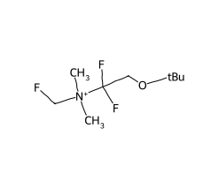 CC(C)(C)OCC(F)(F)[N+](C)(C)CF